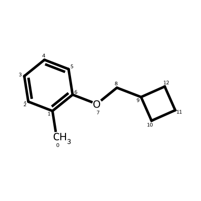 Cc1[c]cccc1OCC1CCC1